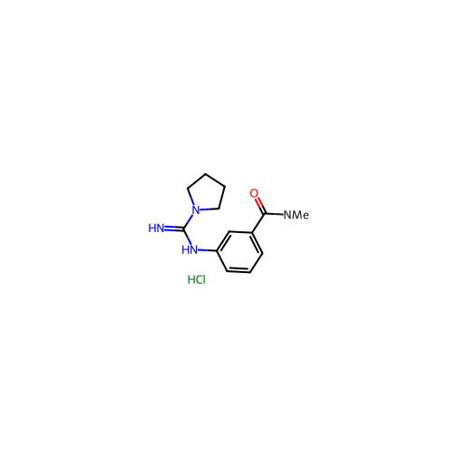 CNC(=O)c1cccc(NC(=N)N2CCCC2)c1.Cl